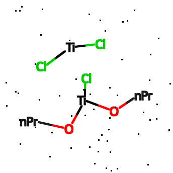 CCC[O][Ti]([Cl])[O]CCC.[Cl][Ti][Cl]